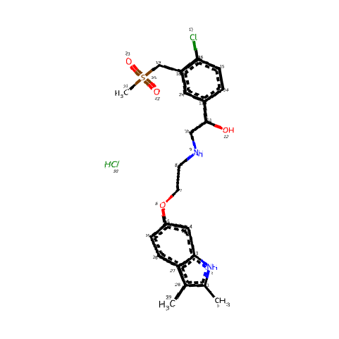 Cc1[nH]c2cc(OCCNCC(O)c3ccc(Cl)c(CS(C)(=O)=O)c3)ccc2c1C.Cl